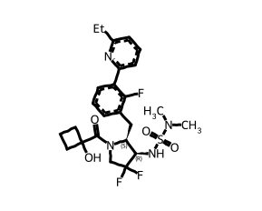 CCc1cccc(-c2cccc(C[C@H]3[C@@H](NS(=O)(=O)N(C)C)C(F)(F)CN3C(=O)C3(O)CCC3)c2F)n1